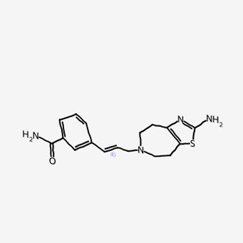 NC(=O)c1cccc(/C=C/CN2CCc3nc(N)sc3CC2)c1